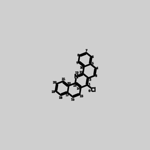 Clc1c2ccc3ccccc3c2nc2c1ccc1ccccc12